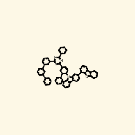 C1=CC(n2c3ccccc3c3ccc(-c4cccc5c4oc4ccccc45)cc32)C(c2ccccc2)C=C1c1nc(-c2ccccc2)nc(-c2cccc(-c3cccc(-c4ccccc4)c3)c2)n1